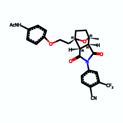 CC(=O)Nc1ccc(OCC[C@]23CC[C@](C)(O2)[C@H]2C(=O)N(c4ccc(C#N)c(C(F)(F)F)c4)C(=O)[C@H]23)cc1